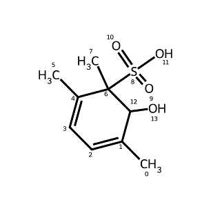 CC1=CC=C(C)C(C)(S(=O)(=O)O)C1O